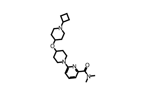 CN(C)C(=O)c1cccc(N2CCC(OC3CCN(C4CCC4)CC3)CC2)n1